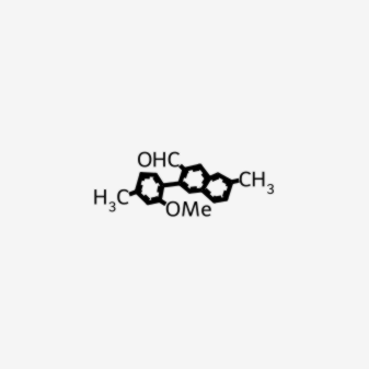 COc1cc(C)ccc1-c1cc2ccc(C)cc2cc1C=O